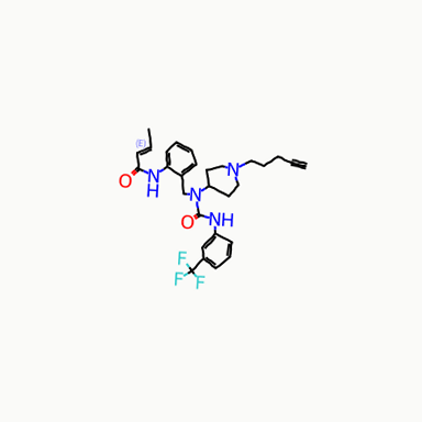 C#CCCCN1CCC(N(Cc2ccccc2NC(=O)/C=C/C)C(=O)Nc2cccc(C(F)(F)F)c2)CC1